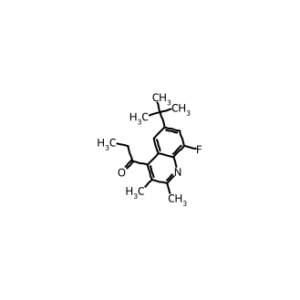 CCC(=O)c1c(C)c(C)nc2c(F)cc(C(C)(C)C)cc12